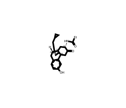 CCC(=O)N[C@H]1C[C@@]2(O)[C@H]3Cc4ccc(O)cc4[C@@]2(CCN3CC2CC2)CC1=O